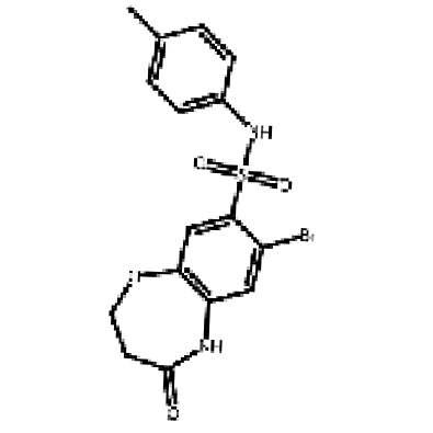 Cc1ccc(NS(=O)(=O)c2cc3c(cc2Br)NC(=O)CCO3)cc1